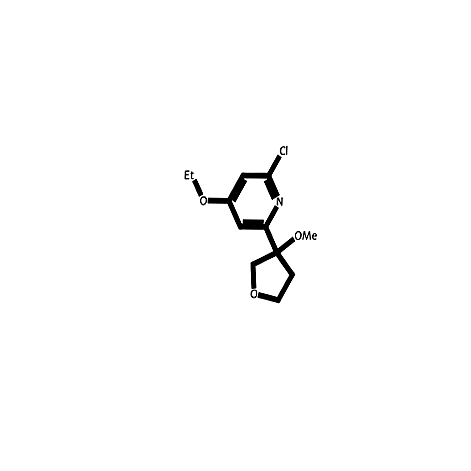 CCOc1cc(Cl)nc(C2(OC)CCOC2)c1